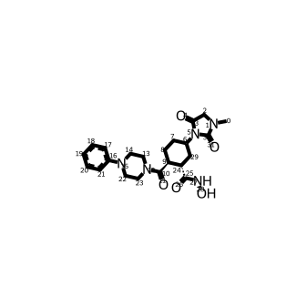 CN1CC(=O)N(C2CC[C@H](C(=O)N3CCN(c4ccccc4)CC3)[C@@H](C(=O)NO)C2)C1=O